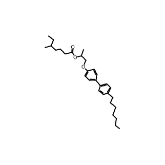 CCCCCCCc1ccc(-c2ccc(OCC(C)OC(=O)CCCC(C)CC)cc2)cc1